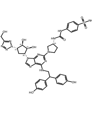 NS(=O)(=O)c1ccc(NC(=O)N[C@@H]2CCN(c3nc(NCC(c4ccc(O)cc4)c4ccc(O)cc4)c4ncn([C@@H]5C[C@H](n6nnc(CO)n6)[C@@H](O)[C@H]5O)c4n3)C2)cc1